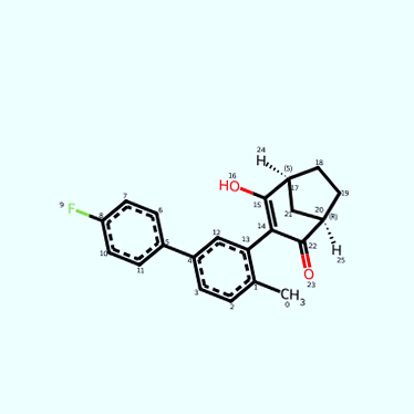 Cc1ccc(-c2ccc(F)cc2)cc1C1=C(O)[C@H]2CC[C@H](C2)C1=O